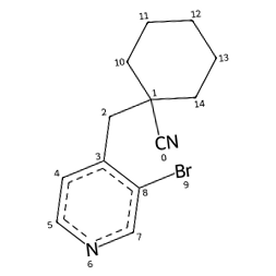 N#CC1(Cc2ccncc2Br)CCCCC1